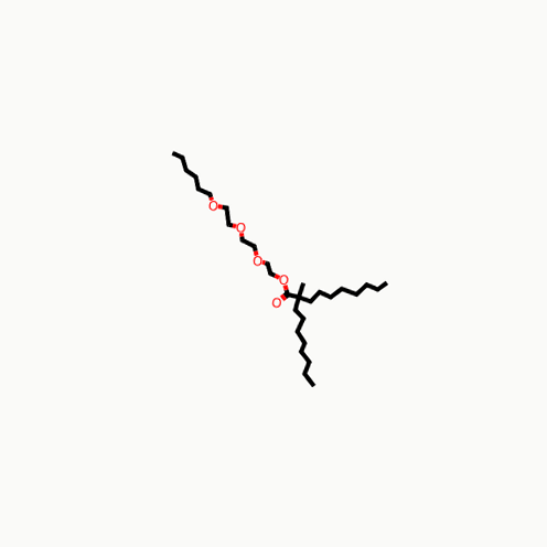 CCCCCCCCC(C)(CCCCCCCC)C(=O)OCCOCCOCCOCCCCCC